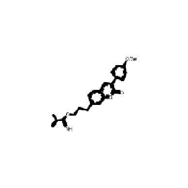 C=C(C)C(=N)OCCCc1ccc2cc(-c3ccc(OC)cc3)c(=O)oc2c1